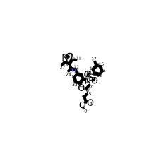 COC(=O)CC[C@H]1CN(S(=O)(=O)c2cccc(C)c2)c2cc(/C=C(\C)c3c(C)noc3C)ccc2O1